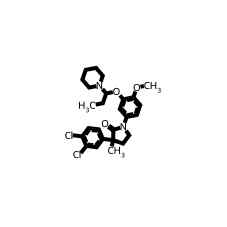 CCC(Oc1cc(N2CCC(C)(c3ccc(Cl)c(Cl)c3)C2=O)ccc1OC)N1CCCCC1